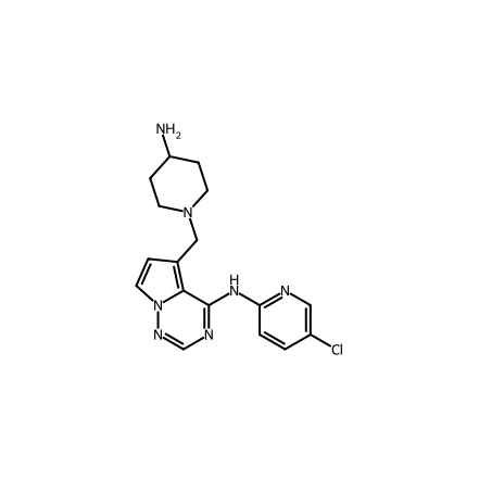 NC1CCN(Cc2ccn3ncnc(Nc4ccc(Cl)cn4)c23)CC1